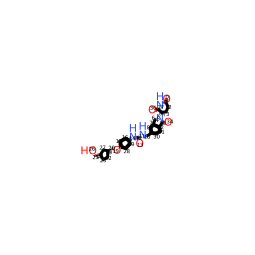 O=C1CC[C@@H](N2Cc3cc(CNC(=O)Nc4ccc(OC[C@@H]5CC[C@H](CO)C5)cc4)ccc3C2=O)C(=O)N1